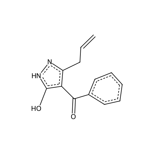 C=CCc1n[nH]c(O)c1C(=O)c1ccccc1